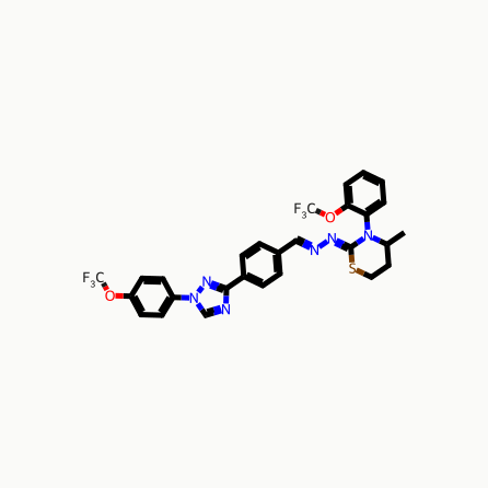 CC1CCS/C(=N\N=C\c2ccc(-c3ncn(-c4ccc(OC(F)(F)F)cc4)n3)cc2)N1c1ccccc1OC(F)(F)F